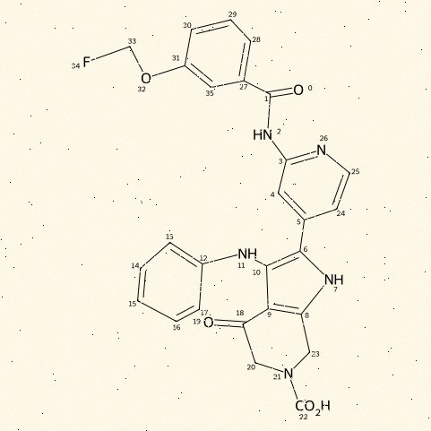 O=C(Nc1cc(-c2[nH]c3c(c2Nc2ccccc2)C(=O)CN(C(=O)O)C3)ccn1)c1cccc(OCF)c1